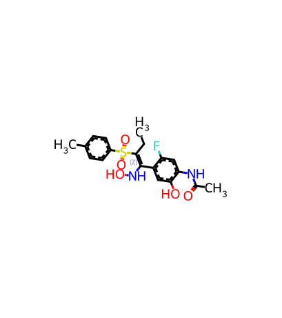 CC/C(=C(/NO)c1cc(O)c(NC(C)=O)cc1F)S(=O)(=O)c1ccc(C)cc1